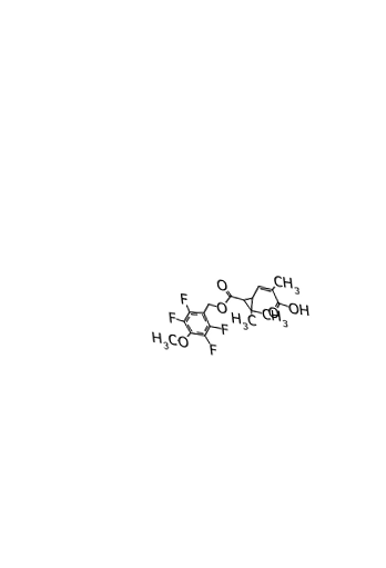 COc1c(F)c(F)c(COC(=O)C2C(C=C(C)C(=O)O)C2(C)C)c(F)c1F